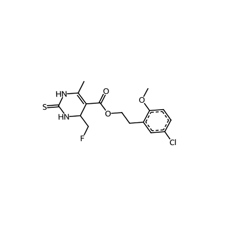 COc1ccc(Cl)cc1CCOC(=O)C1=C(C)NC(=S)NC1CF